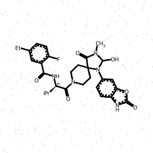 CCc1ccc(F)c(C(=O)N[C@@H](C(=O)N2CCC3(CC2)C(=O)N(C)C(O)N3c2ccc3[nH]c(=O)oc3c2)C(C)C)c1